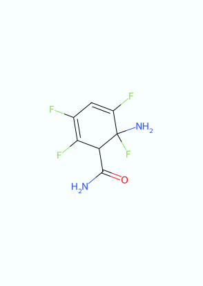 NC(=O)C1C(F)=C(F)C=C(F)C1(N)F